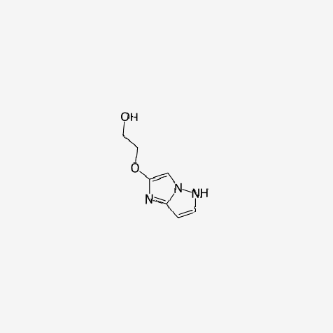 OCCOc1cn2[nH]ccc2n1